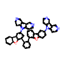 C1=CC2Oc3c(-c4ccccc4-c4cccc5c4oc4ccc(-n6c7ccncc7c7cnccc76)cc45)cc(-n4c5ccncc5c5cnccc54)cc3C2C=C1